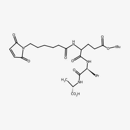 CC(C)[C@H](NC(=O)C(CCC(=O)OC(C)(C)C)NC(=O)CCCCCN1C(=O)C=CC1=O)C(=O)N[C@@H](C)C(=O)O